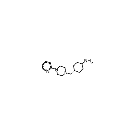 N[C@H]1CC[C@H](CN2CCN(c3ccccn3)CC2)CC1